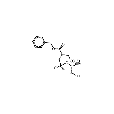 CCOC(=O)CN(CP(=O)(O)OC(SS)C(C)C)C(=O)OCc1ccccc1